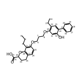 CCCc1c(OCCCOc2cc(O)c(-c3ccccc3)cc2CC)ccc2c1OC(C(=O)O)CC2